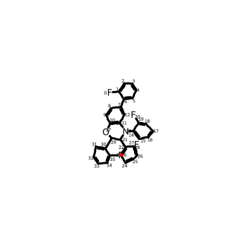 Fc1ccccc1-c1ccc2c(c1)N(c1ccccc1F)C(c1ccccc1F)C(c1ccccc1F)O2